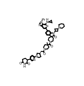 CC(C)n1cnc2cc(-c3ccc4c(c3)N(C3CC(N5CCCCC5)C3)C(=O)C43CCN(C(=O)C4(C)CCN(C(=O)C[C@H]5CCN(c6ccc(C7CCC(=O)NC7=O)cn6)C5)CC4)CC3)nc(NC3CC3)c21